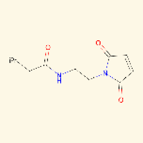 CC(C)CC(=O)NCCN1C(=O)C=CC1=O